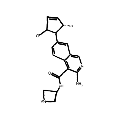 C[C@H]1C=CC(Cl)C1c1ccc2c(C(=O)NC3CNC3)c(N)ncc2c1